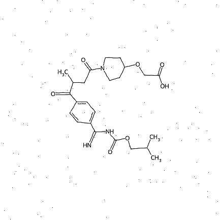 CC(C)COC(=O)NC(=N)c1ccc(C(=O)C(C)CC(=O)N2CCC(OCC(=O)O)CC2)cc1